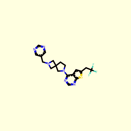 FC(F)(F)Cc1cc2c(N3CCC4(CN(Cc5cncnc5)C4)C3)ncnc2s1